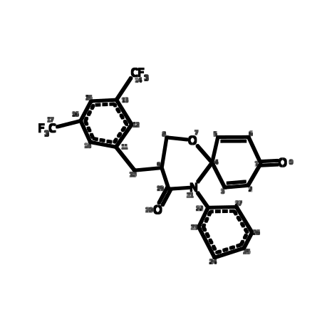 O=C1C=CC2(C=C1)OCC(Cc1cc(C(F)(F)F)cc(C(F)(F)F)c1)C(=O)N2c1ccccc1